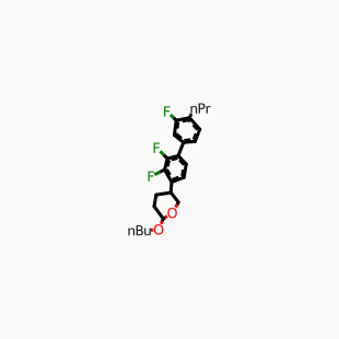 CCCCOC1CCC(c2ccc(-c3ccc(CCC)c(F)c3)c(F)c2F)CO1